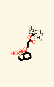 CC(C)(C)OC(=O)CCOc1cccc2c1S(O)(O)C=C2